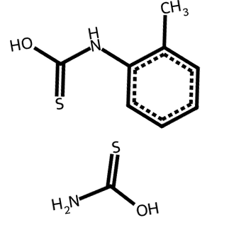 Cc1ccccc1NC(O)=S.NC(O)=S